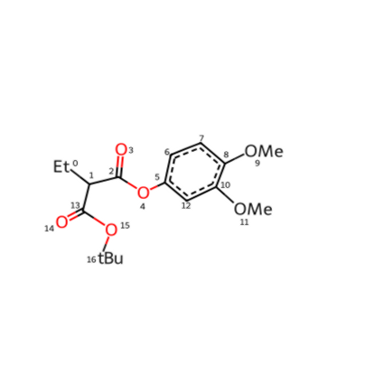 CCC(C(=O)Oc1ccc(OC)c(OC)c1)C(=O)OC(C)(C)C